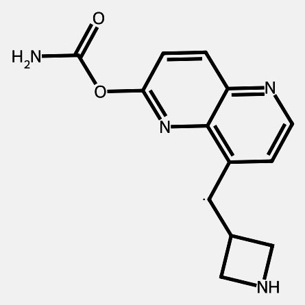 NC(=O)Oc1ccc2nccc([CH]C3CNC3)c2n1